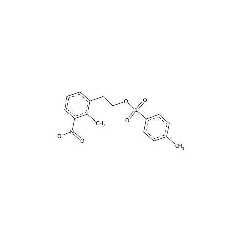 Cc1ccc(S(=O)(=O)OCCc2cccc([N+](=O)[O-])c2C)cc1